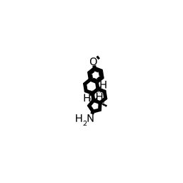 COc1ccc2c(c1)CC[C@@H]1[C@@H]2CC[C@]2(C)CC(N)C[C@@H]12